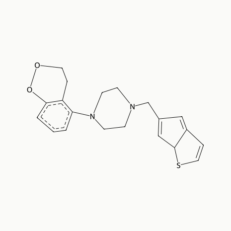 C1=CC2=CC(CN3CCN(c4cccc5c4CCOO5)CC3)=CC2S1